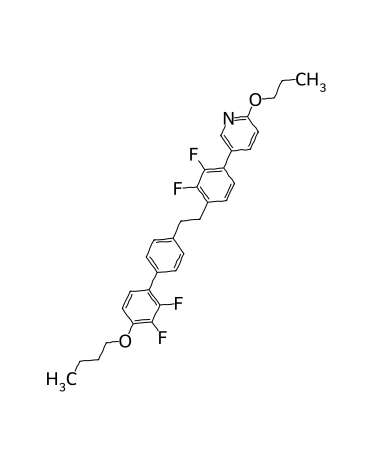 CCCCOc1ccc(-c2ccc(CCc3ccc(-c4ccc(OCCC)nc4)c(F)c3F)cc2)c(F)c1F